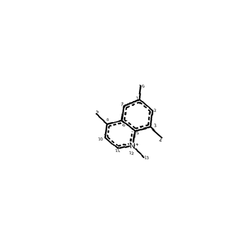 Cc1cc(C)c2c(c1)c(C)cc[n+]2C